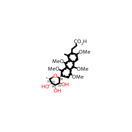 COc1cc2c(OC)c3c(OC)cc([C@H]4O[C@@H](C)[C@@H](O)[C@@H](O)[C@@H]4O)c(OC)c3c(OC)c2c(C)c1CCC(=O)O